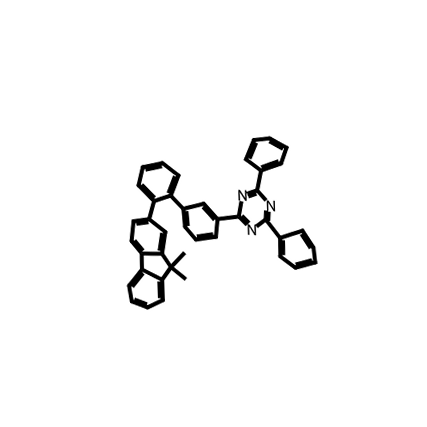 CC1(C)c2ccccc2-c2ccc(-c3ccccc3-c3cccc(-c4nc(-c5ccccc5)nc(-c5ccccc5)n4)c3)cc21